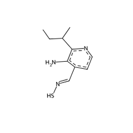 CCC(C)c1nccc(/C=N/S)c1N